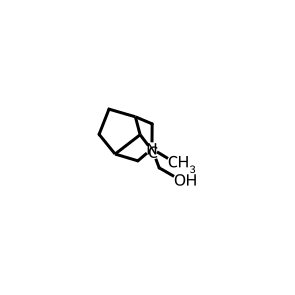 CN1CC2CCC(C1)C2CCO